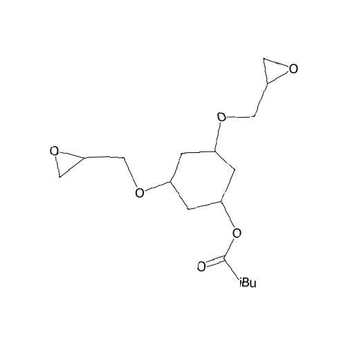 CCC(C)C(=O)OC1CC(OCC2CO2)CC(OCC2CO2)C1